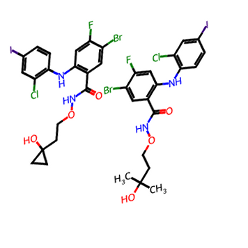 CC(C)(O)CCONC(=O)c1cc(Br)c(F)cc1Nc1ccc(I)cc1Cl.O=C(NOCCC1(O)CC1)c1cc(Br)c(F)cc1Nc1ccc(I)cc1Cl